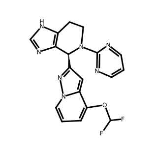 FC(F)Oc1cccn2nc([C@H]3c4nc[nH]c4CCN3c3ncccn3)cc12